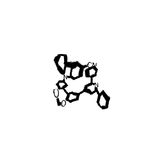 N#Cc1ccc2c(c1)c1ccccc1n2-c1ccc2c(c1)-c1cc(-c3cc(-c4ccccc4)nc(-c4ccccc4)c3)ccc1OCO2